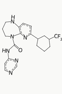 O=C(Nc1ccncn1)N1CCCNc2ccc(C3CCCC(C(F)(F)F)C3)nc21